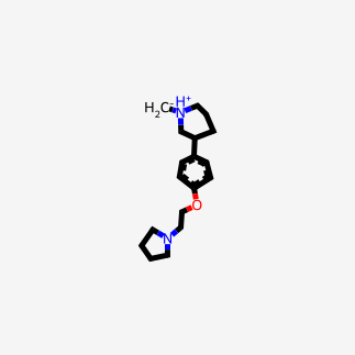 [CH2-][NH+]1CCCC(c2ccc(OCCN3CCCC3)cc2)C1